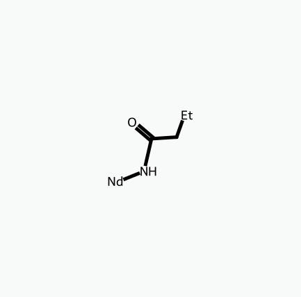 CCCC(=O)[NH][Nd]